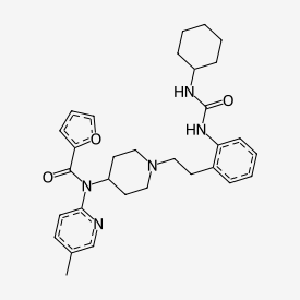 Cc1ccc(N(C(=O)c2ccco2)C2CCN(CCc3ccccc3NC(=O)NC3CCCCC3)CC2)nc1